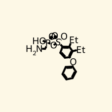 CCc1c(Oc2ccccc2)ccc(S(=O)(=O)OP(=O)(O)CN)c1CC